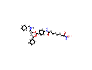 CN(Cc1ccccc1)CC1CC(c2ccccc2)OC(c2ccc(NC(=O)CCCCCCC(=O)NO)cc2)O1